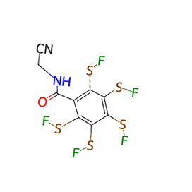 N#CCNC(=O)c1c(SF)c(SF)c(SF)c(SF)c1SF